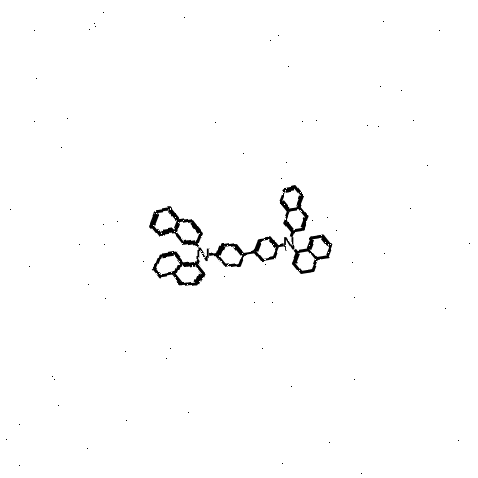 C1=CCC2CCC=C(N(C3=CC=C(C4=CC=C(N(C5=C6C=CCCC6CC=C5)c5ccc6ccccc6c5)CC4)CC3)c3ccc4ccccc4c3)C2=C1